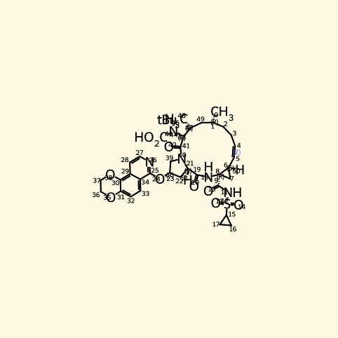 C[C@@H]1CC/C=C\[C@@H]2C[C@@]2(C(=O)NS(=O)(=O)C2CC2)NC(=O)[C@@H]2C[C@@H](Oc3nccc4c5c(ccc34)OCCO5)CN2C(=O)[C@@H](N(C(=O)O)C(C)(C)C)[C@H](C)C1